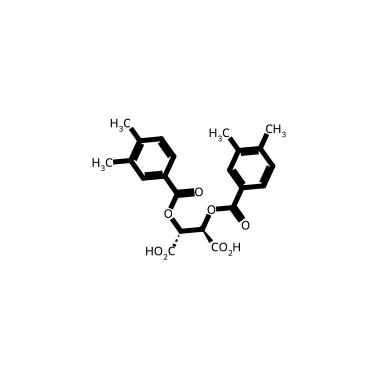 Cc1ccc(C(=O)O[C@@H](C(=O)O)[C@@H](OC(=O)c2ccc(C)c(C)c2)C(=O)O)cc1C